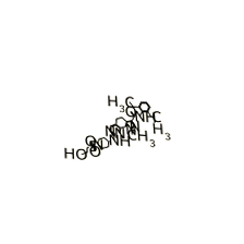 CCc1cccc(CC)c1NC(=O)c1nn(C)c2c1CCc1cnc(NC3CCN(S(=O)(=O)CCO)CC3)nc1-2